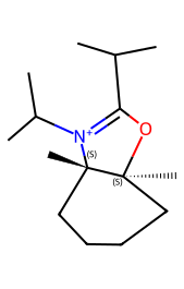 CC(C)C1=[N+](C(C)C)[C@@]2(C)CCCC[C@]2(C)O1